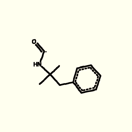 CC(C)(Cc1ccccc1)N[C]=O